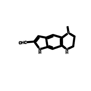 CN1CCNc2cc3[nH]c(C=O)cc3cc21